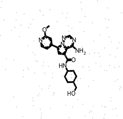 COc1cc(-c2cc(C(=O)NC3CCC(CO)CC3)c3c(N)ncnn23)ccn1